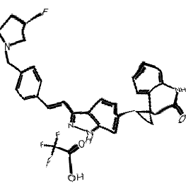 O=C(O)C(F)(F)F.O=C1Nc2ccccc2[C@]12C[C@H]2c1ccc2c(C=Cc3ccc(CN4CC[C@@H](F)C4)cc3)n[nH]c2c1